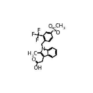 Cc1c(CC(=O)O)c2ccccc2n1Cc1ccc(S(C)(=O)=O)cc1C(F)(F)F